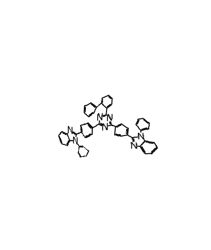 C1=CC(n2c(-c3ccc(-c4nc(-c5ccc(-c6nc7ccccc7n6-c6ccccc6)cc5)nc(-c5ccccc5-c5ccccc5)n4)cc3)nc3ccccc32)=CCC1